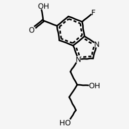 O=C(O)c1cc(F)c2ncn(CC(O)CCO)c2c1